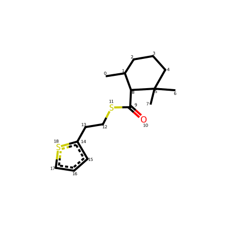 CC1CCCC(C)(C)C1C(=O)SCCc1cccs1